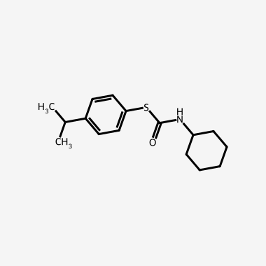 CC(C)c1ccc(SC(=O)NC2CCCCC2)cc1